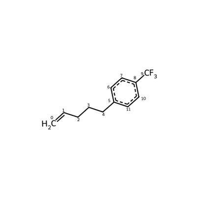 C=CCCCc1ccc(C(F)(F)F)cc1